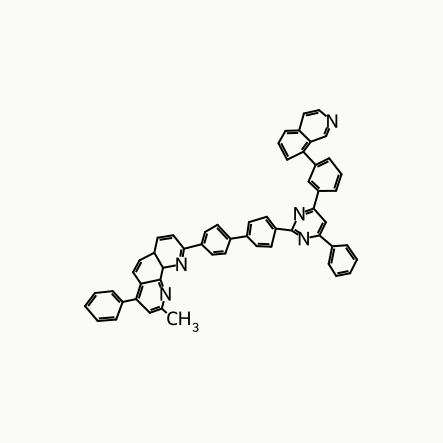 Cc1cc(-c2ccccc2)c2c(n1)C1N=C(c3ccc(-c4ccc(-c5nc(-c6ccccc6)cc(-c6cccc(-c7cccc8ccncc78)c6)n5)cc4)cc3)C=CC1C=C2